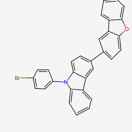 Brc1ccc(-n2c3ccccc3c3cc(-c4ccc5oc6ccccc6c5c4)ccc32)cc1